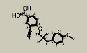 COc1ccc(CC(C)(C)COc2ccc(B(O)O)cc2C#N)cc1